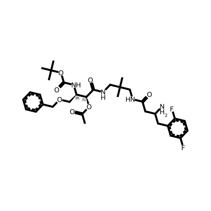 CC(=O)O[C@H](C(=O)NCC(C)(C)CNC(=O)CC(N)Cc1cc(F)ccc1F)[C@@H](COCc1ccccc1)NC(=O)OC(C)(C)C